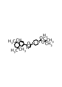 CC(C)(C)OC(=O)N1CCN(c2cnc(-c3ccc4c(c3)C(C)(C)CCC4(C)C)o2)CC1